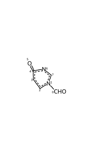 O=Cn1ccc(=O)nc1